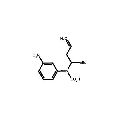 C=CCC(CCCC)N(C(=O)O)c1cccc([N+](=O)[O-])c1